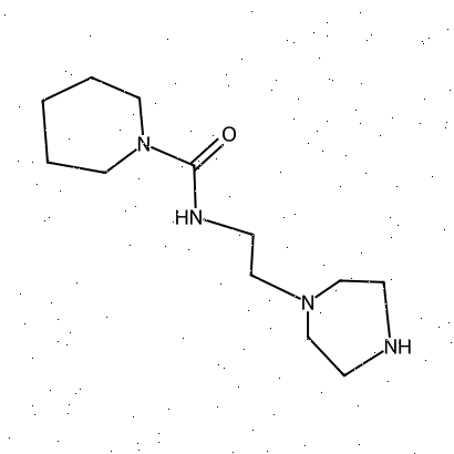 O=C(NCCN1CCNCC1)N1CCCCC1